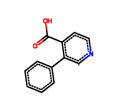 O=C(O)c1ccn[c]c1-c1ccccc1